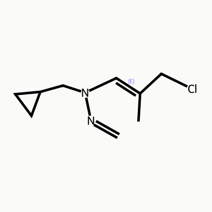 C=NN(/C=C(\C)CCl)CC1CC1